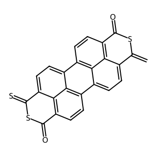 C=c1sc(=O)c2ccc3c4ccc5c6c(ccc(c7ccc1c2c73)c64)C(=O)SC5=S